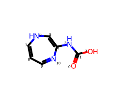 O=C(O)NC1=CNC=CC=N1